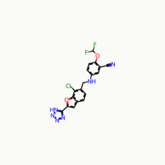 N#Cc1cc(NCc2ccc3cc(-c4nnn[nH]4)oc3c2Cl)ccc1OC(F)F